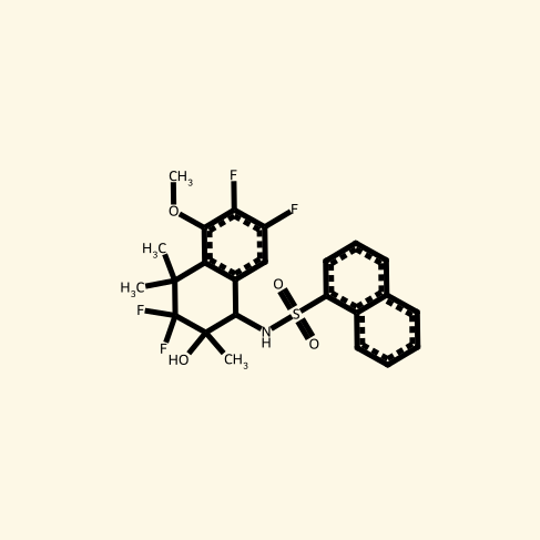 COc1c(F)c(F)cc2c1C(C)(C)C(F)(F)C(C)(O)C2NS(=O)(=O)c1cccc2ccccc12